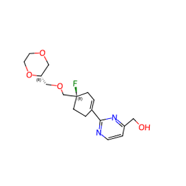 OCc1ccnc(C2=CC[C@@](F)(COC[C@H]3COCCO3)CC2)n1